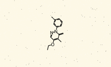 C=C1C(C)=C(OCC)C=NN1c1cccc(C)c1